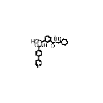 O=C(NCC1(O)CCCCC1)c1cccc([C@@H](CO)NC(=O)c2ccc(-c3ccncc3)cc2)c1